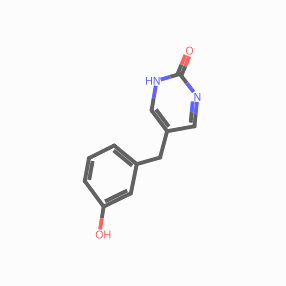 O=c1ncc(Cc2cccc(O)c2)c[nH]1